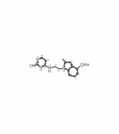 COc1cccc2c1cc(C)n2CCNc1ccnc(Cl)n1